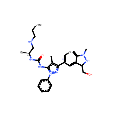 C=C1/C(=C\C(=C/CC)c2nn(-c3ccccc3)c(NC(=O)N[C@@H](CC)CNCCOC)c2C)C(CO)NN1C